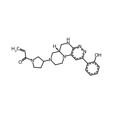 C=CC(=O)N1CCC(N2CCN3c4cc(-c5ccccc5O)nnc4NC[C@H]3C2)C1